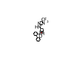 C[C@H]1C2CC(Nc3cnc(C(F)(F)F)cn3)C1N(C(=O)c1ccccc1-c1ccccc1)C2